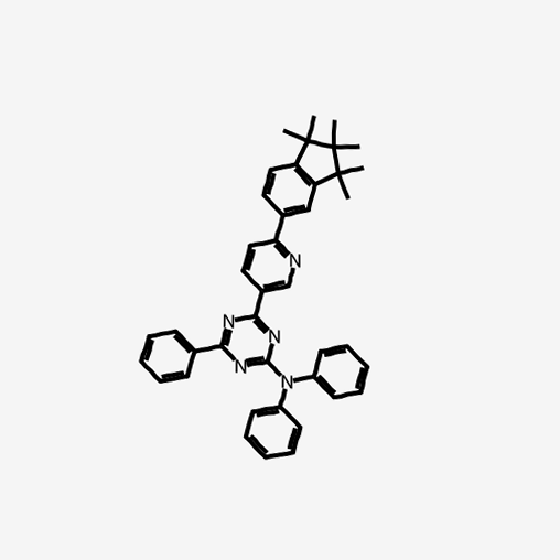 CC1(C)c2ccc(-c3ccc(-c4nc(-c5ccccc5)nc(N(c5ccccc5)c5ccccc5)n4)cn3)cc2C(C)(C)C1(C)C